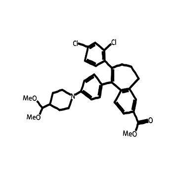 COC(=O)c1ccc2c(c1)CCCC(c1ccc(Cl)cc1Cl)=C2c1ccc(N2CCC(C(OC)OC)CC2)cc1